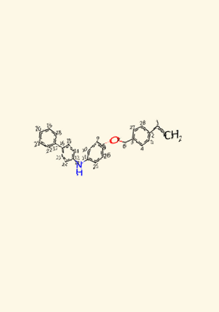 C=Cc1ccc(COc2ccc(Nc3ccc(-c4ccccc4)cc3)cc2)cc1